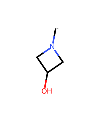 [CH2]N1CC(O)C1